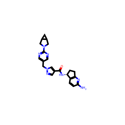 Nc1ccc2c(n1)CC[C@H]2NC(=O)c1cnn(Cc2cnc(N3CC4CC4C3)nc2)c1